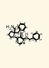 NC(=O)C1(Cc2ccccc2)CCCN1c1ncnc(NCc2ccccc2)c1Br